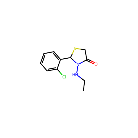 CCNN1C(=O)CSC1c1ccccc1Cl